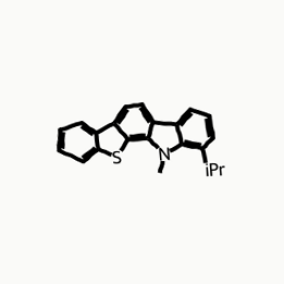 CC(C)c1cccc2c3ccc4c5ccccc5sc4c3n(C)c12